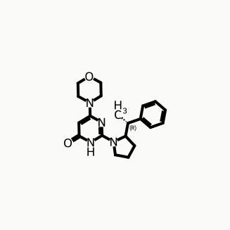 C[C@H](c1ccccc1)C1CCCN1c1nc(N2CCOCC2)cc(=O)[nH]1